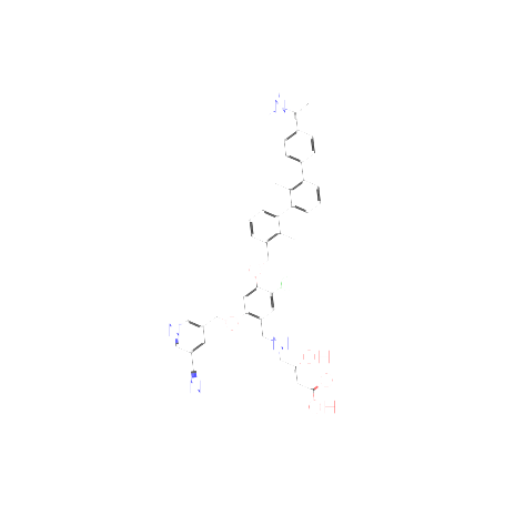 Cc1c(COc2cc(OCc3cncc(C#N)c3)c(CNC[C@@H](O)CC(=O)O)cc2Cl)cccc1-c1cccc(-c2ccc([C@H](C)N(C)C)cc2)c1C